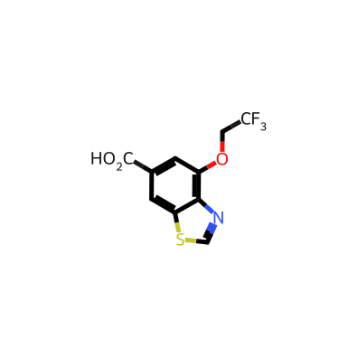 O=C(O)c1cc(OCC(F)(F)F)c2ncsc2c1